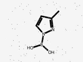 Cc1ccn(B(O)O)n1